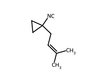 [C-]#[N+]C1(CC=C(C)C)CC1